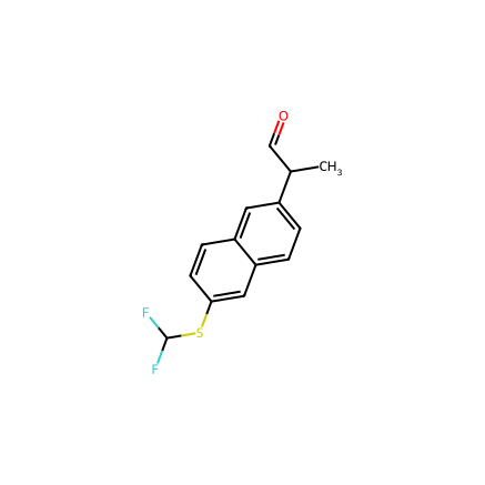 CC(C=O)c1ccc2cc(SC(F)F)ccc2c1